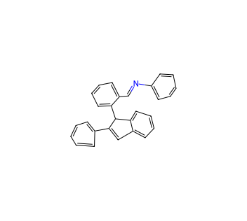 C(=Nc1ccccc1)c1ccccc1C1C(c2ccccc2)=Cc2ccccc21